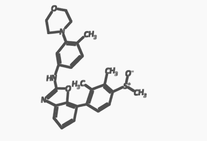 Cc1ccc(Nc2nc3cccc(-c4ccc([S+](C)[O-])c(C)c4C)c3o2)cc1N1CCOCC1